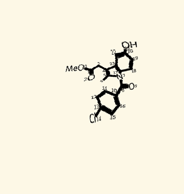 COC(=O)Cc1c(C)n(C(=O)c2ccc(Cl)cc2)c2ccc(O)cc12